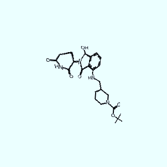 CC(C)(C)OC(=O)N1CCCC(CNc2cccc3c2C(=O)N(C2CCC(=O)NC2=O)C3O)C1